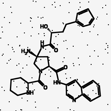 N[C@@]1(NC(=O)[C@H](O)CCc2ccccc2)C[C@@H](C(=O)Nc2cnc3ccccc3c2)N(C(=O)C2CCCCN2)C1